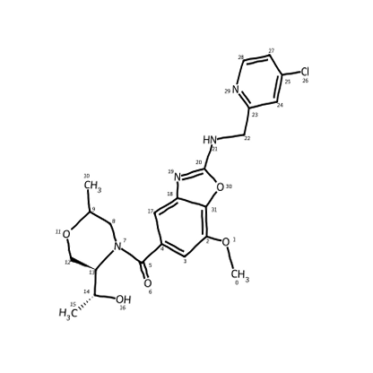 COc1cc(C(=O)N2CC(C)OC[C@@H]2[C@@H](C)O)cc2nc(NCc3cc(Cl)ccn3)oc12